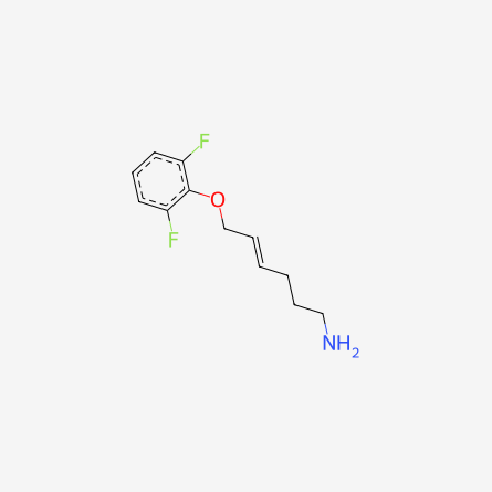 NCCC/C=C/COc1c(F)cccc1F